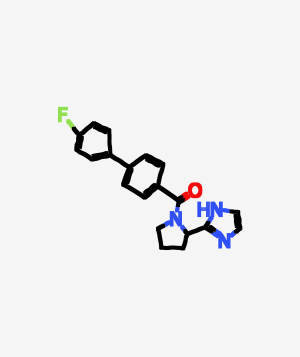 O=C(c1ccc(-c2ccc(F)cc2)cc1)N1CCCC1c1ncc[nH]1